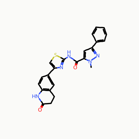 Cn1nc(-c2ccccc2)cc1C(=O)Nc1nc(-c2ccc3c(c2)CCC(=O)N3)cs1